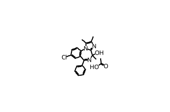 CC(=O)O.Cc1nc2n(c1C)-c1ccc(Cl)cc1C(c1ccccc1)=NC2(C)O